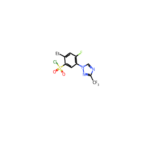 CCc1cc(F)c(-n2cnc(C(F)(F)F)n2)cc1S(=O)(=O)Cl